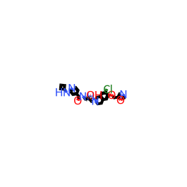 O=C(NC[C@H](O)CN1CCc2cc(OCc3cnco3)c(Cl)cc2C1)c1ccnc(NC2CCC2)c1